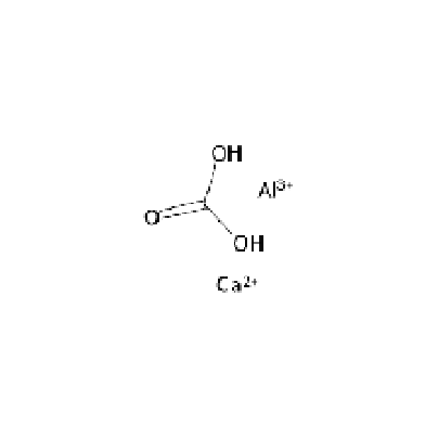 O=C(O)O.[Al+3].[Ca+2]